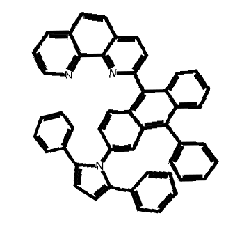 c1ccc(-c2c3ccccc3c(-c3ccc4ccc5cccnc5c4n3)c3ccc(-n4c(-c5ccccc5)ccc4-c4ccccc4)cc23)cc1